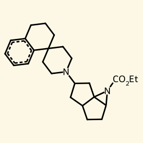 CCOC(=O)N1C2CCC3CC(N4CCC5(CCCc6ccccc65)CC4)CC321